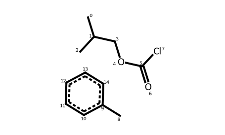 CC(C)COC(=O)Cl.Cc1ccccc1